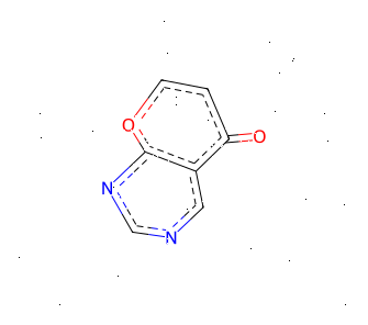 O=c1ccoc2ncncc12